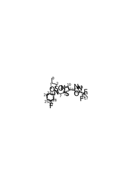 CCCS(=O)(=O)N(Cc1ncc(-c2nnc(C(C)(F)F)o2)s1)c1cccc(F)c1